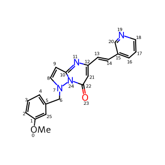 COc1cccc(Cn2ccc3nc(/C=C/c4cccnc4)cc(=O)n32)c1